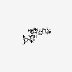 COc1cc(F)cc(-c2nccc3[nH]c(-c4n[nH]c5cnc(-c6cncc(CN7CCC(F)(F)C7)c6)cc45)cc23)c1